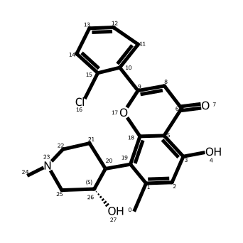 Cc1cc(O)c2c(=O)cc(-c3ccccc3Cl)oc2c1C1CCN(C)C[C@H]1O